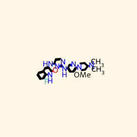 COc1cc(Nc2nccc(Nc3cc4cccc(F)c4[nH]c3=O)n2)cnc1N1CCC(N(C)C)CC1